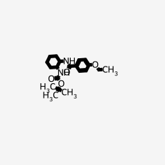 CCOc1ccc(C(=O)NC2CCCCC2NC(=O)OC(C)(C)C)cc1